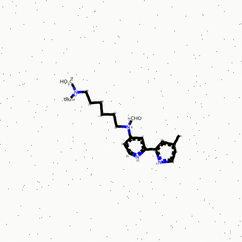 Cc1ccnc(-c2cc(N(C=O)CCCCCCN(C(=O)O)C(C)(C)C)ccn2)c1